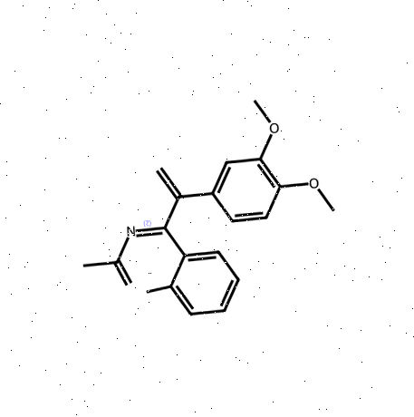 C=C(C)/N=C(/C(=C)c1ccc(OC)c(OC)c1)c1ccccc1C